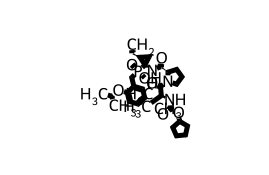 C=C[C@@H]1C[C@]1(NC(=O)[C@@H]1CCCN1C(=O)[C@@H](NC(=O)OC1CCCC1)C(C)(C)C)P(=O)(O)Cc1ccccc1OC(C)C